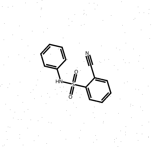 N#Cc1ccccc1S(=O)(=O)Nc1[c]cccc1